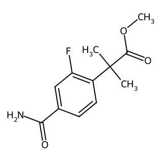 COC(=O)C(C)(C)c1ccc(C(N)=O)cc1F